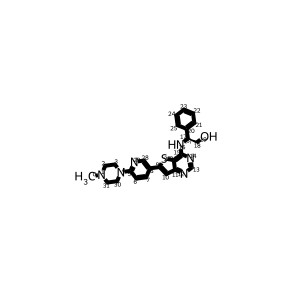 CN1CCN(c2ccc(-c3cc4ncnc(N[C@H](CO)c5ccccc5)c4s3)cn2)CC1